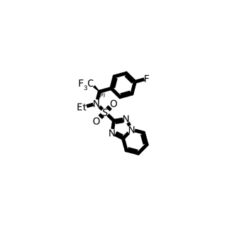 CCN([C@H](c1ccc(F)cc1)C(F)(F)F)S(=O)(=O)c1nc2ccccn2n1